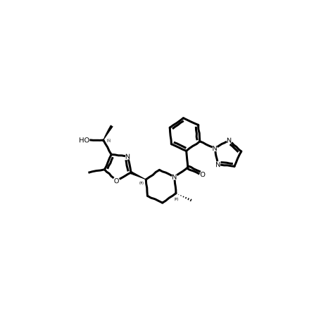 Cc1oc([C@@H]2CC[C@@H](C)N(C(=O)c3ccccc3-n3nccn3)C2)nc1[C@H](C)O